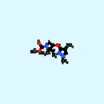 Cn1cc([N+](=O)[O-])c(OC2CN(C(=O)OC(C)(C)C)C2(C)C)n1